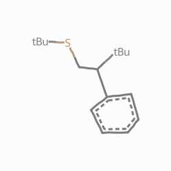 CC(C)(C)SCC(c1ccccc1)C(C)(C)C